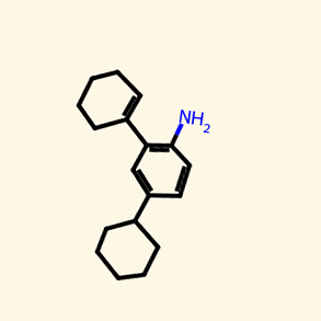 Nc1ccc(C2CCCCC2)cc1C1=CCCCC1